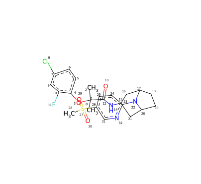 CC(C)(Oc1ccc(Cl)cc1F)C(=O)NC1CC2CCC(C1)N2c1ccc(S(C)(=O)=O)cn1